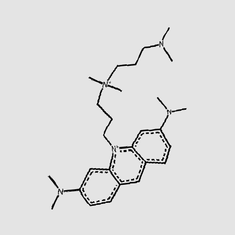 CN(C)CCC[N+](C)(C)CCC[n+]1c2cc(N(C)C)ccc2cc2ccc(N(C)C)cc21